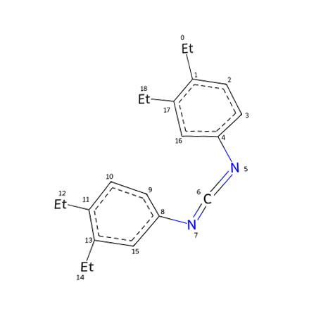 CCc1ccc(N=C=Nc2ccc(CC)c(CC)c2)cc1CC